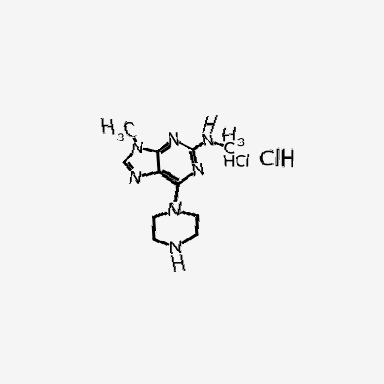 CNc1nc(N2CCNCC2)c2ncn(C)c2n1.Cl.Cl